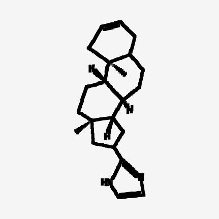 C[C@]12CC[C@H]3[C@@H](CCC4CC=CC[C@@]43C)[C@@H]1CC(c1ncc[nH]1)C2